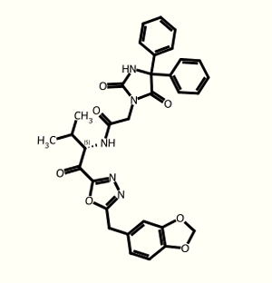 CC(C)[C@H](NC(=O)CN1C(=O)NC(c2ccccc2)(c2ccccc2)C1=O)C(=O)c1nnc(Cc2ccc3c(c2)OCO3)o1